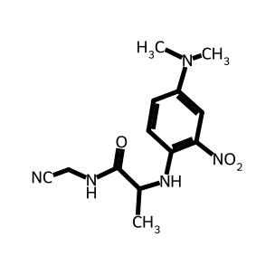 CC(Nc1ccc(N(C)C)cc1[N+](=O)[O-])C(=O)NCC#N